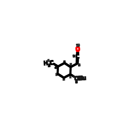 CC(C)COC1CCC(C)CC1C=C=O